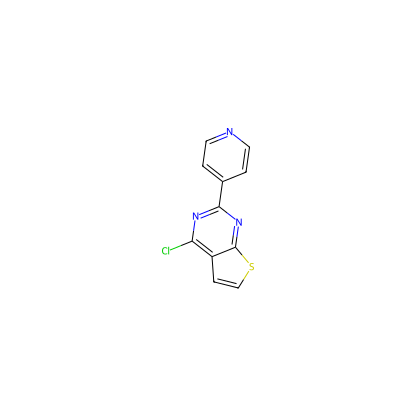 Clc1nc(-c2ccncc2)nc2sccc12